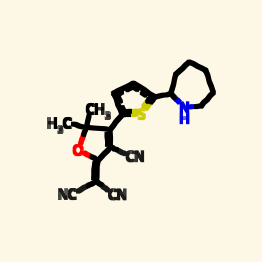 CC1(C)OC(=C(C#N)C#N)C(C#N)=C1c1ccc(C2CCCCCN2)s1